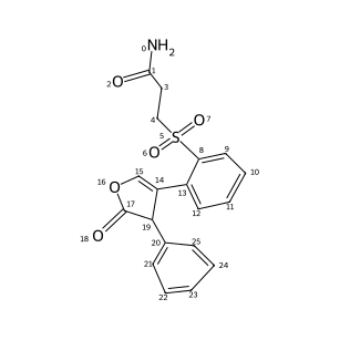 NC(=O)CCS(=O)(=O)c1ccccc1C1=COC(=O)C1c1ccccc1